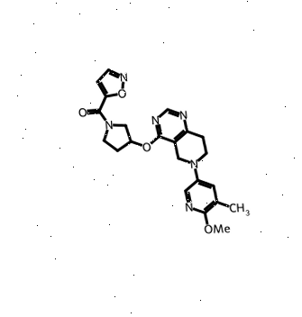 COc1ncc(N2CCc3ncnc(OC4CCN(C(=O)c5ccno5)C4)c3C2)cc1C